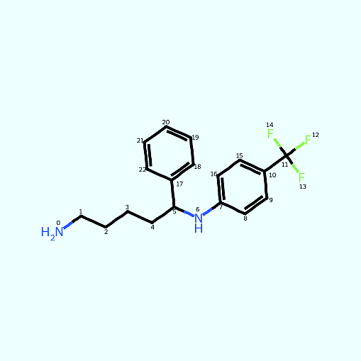 NCCCCC(Nc1ccc(C(F)(F)F)cc1)c1ccccc1